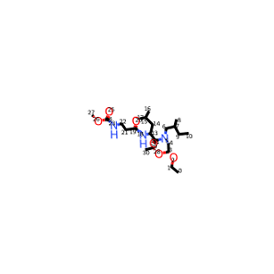 CCOC(CN(CC(C)CC)C(=O)C(CC(C)C)NC(=O)CCNC(=O)OC)OCC